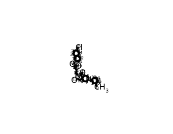 Cc1cc(N2CCC3(CC2)CC(=O)N(CCCS(=O)(=O)c2ccc4cc(Cl)ccc4c2)C3=O)ccn1